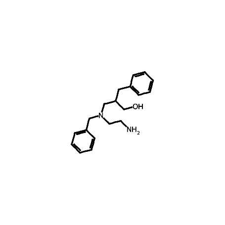 NCCN(Cc1ccccc1)CC(CO)Cc1ccccc1